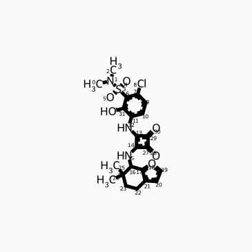 CN(C)S(=O)(=O)c1c(Cl)ccc(Nc2c(NC3c4occc4CCC3(C)C)c(=O)c2=O)c1O